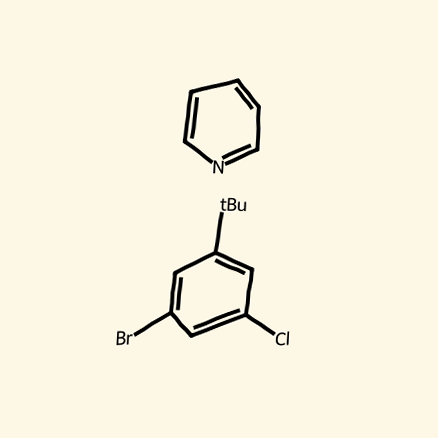 CC(C)(C)c1cc(Cl)cc(Br)c1.c1ccncc1